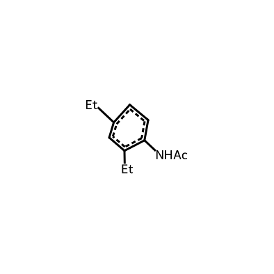 CCc1ccc(NC(C)=O)c(CC)c1